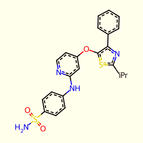 CC(C)c1nc(-c2ccccc2)c(Oc2ccnc(Nc3ccc(S(N)(=O)=O)cc3)c2)s1